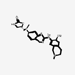 COc1cc2c(cc1Nc1ncc3ccc(N(C)C[C@@H]4CNC(=O)O4)cc3n1)CN(C)CC2